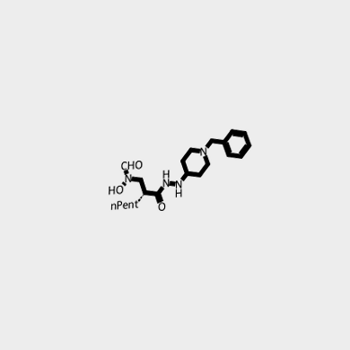 CCCCC[C@H](CN(O)C=O)C(=O)NNC1CCN(Cc2ccccc2)CC1